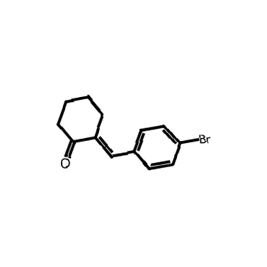 O=C1CCCC/C1=C\c1ccc(Br)cc1